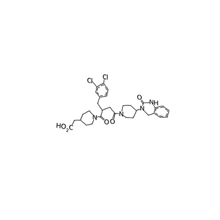 O=C(O)CC1CCN(C(=O)C(CC(=O)N2CCC(N3Cc4ccccc4NC3=O)CC2)Cc2ccc(Cl)c(Cl)c2)CC1